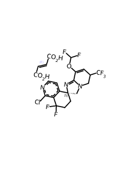 FC(F)OC1=CC(C(F)(F)F)CN2C[C@@]3(CCC(F)(F)c4c3ccnc4Cl)N=C12.O=C(O)/C=C/C(=O)O